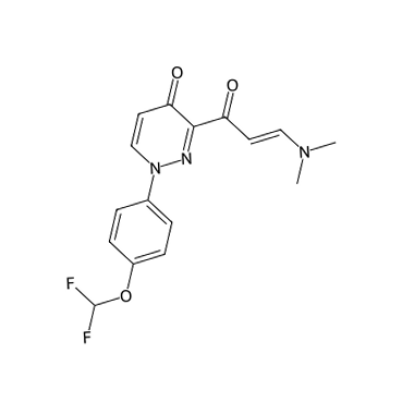 CN(C)C=CC(=O)c1nn(-c2ccc(OC(F)F)cc2)ccc1=O